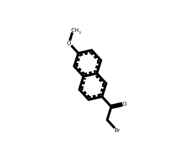 COc1ccc2cc(C(=O)CBr)ccc2c1